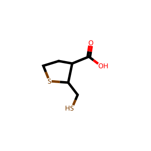 O=C(O)C1CCSC1CS